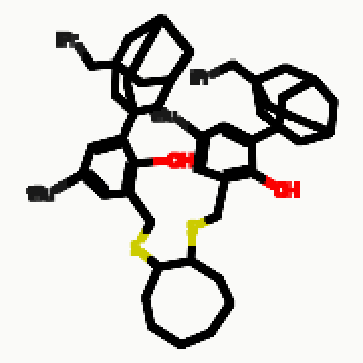 CC(C)CC12CC3CC(C1)CC(c1cc(C(C)(C)C)cc(CSC4CCCCCCC4SCc4cc(C(C)(C)C)cc(C56CC7CC(CC(CC(C)C)(C7)C5)C6)c4O)c1O)(C3)C2